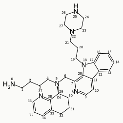 NCCCCN(Cc1nccc2c3ccccc3n(CCCN3CCNCC3)c12)[C@H]1CCCc2cccnc21